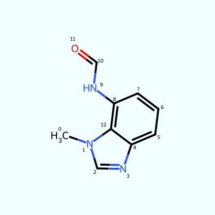 Cn1cnc2cccc(NC=O)c21